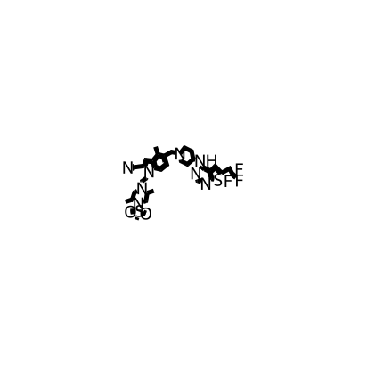 Cc1c(CN2CCC(Nc3ncnc4sc(CC(F)(F)F)cc34)CC2)ccc2c1cc(C#N)n2CCN1CC(C)N(S(C)(=O)=O)CC1C